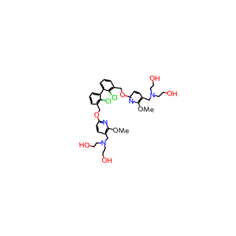 COc1nc(OCc2cccc(-c3cccc(COc4ccc(CN(CCO)CCO)c(OC)n4)c3Cl)c2Cl)ccc1CN(CCO)CCO